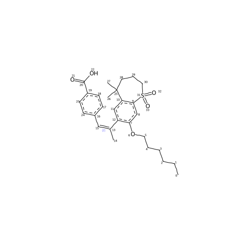 CCCCCCOc1cc2c(cc1/C(C)=C\c1ccc(C(=O)O)cc1)C(C)(C)CCCS2(=O)=O